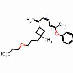 C=C(/C=C\C=C(/C)Oc1ccccc1)[C@H]1C[C@@](C)(CCCOCCC(=O)O)C1